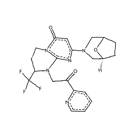 O=C(CN1c2nc(N3CC4CC[C@@H](C3)O4)cc(=O)n2CCC1C(F)(F)F)c1ccccn1